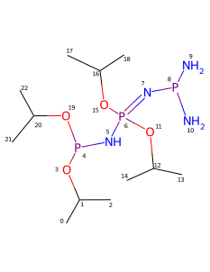 CC(C)OP(NP(=NP(N)N)(OC(C)C)OC(C)C)OC(C)C